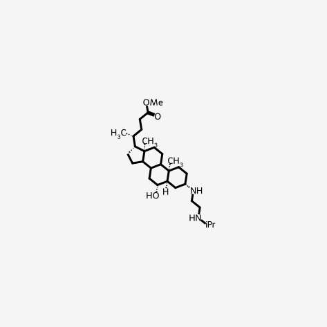 COC(=O)CC[C@@H](C)[C@H]1CCC2C3C[C@@H](O)[C@@H]4C[C@@H](NCCNC(C)C)CC[C@]4(C)C3CC[C@@]21C